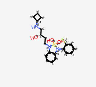 O[C@@H](CCN1c2ccccc2N(c2ccccc2F)S1(O)O)CNC1CCC1